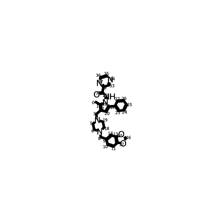 Cc1c(CN2CCN(Cc3ccc4c(c3)OCO4)CC2)cc(-c2ccccc2)n1NC(=O)c1cnccn1